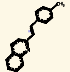 Cc1ccc(/C=C/c2ccc3ccccc3n2)cc1